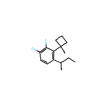 CCC(C)c1ccc(F)c(F)c1C1(C)CCC1